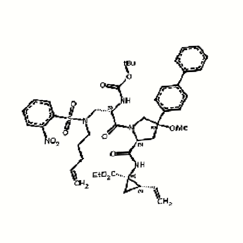 C=CCCCN(C[C@H](NC(=O)OC(C)(C)C)C(=O)N1C[C@](OC)(c2ccc(-c3ccccc3)cc2)C[C@H]1C(=O)N[C@]1(C(=O)OCC)C[C@H]1C=C)S(=O)(=O)c1ccccc1[N+](=O)[O-]